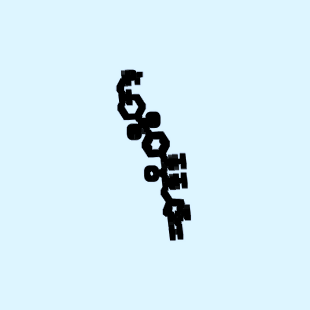 CC(C)CN1CCC(S(=O)(=O)c2ccc(NC(=O)NCc3cn[nH]c3)cc2)CC1